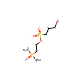 COP(=O)(CCOS(=O)(=O)CCCBr)OC